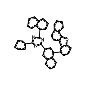 c1ccc(-c2nc(-c3cc(-c4cccc5sc6c7ccccc7ccc6c45)c4ccccc4c3)nc(-c3cccc4ccccc34)n2)cc1